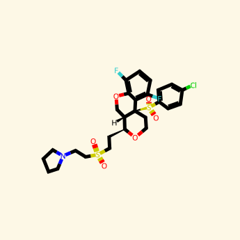 O=S(=O)(CC[C@@H]1OCC[C@@]2(S(=O)(=O)c3ccc(Cl)cc3)c3c(F)ccc(F)c3OC[C@@H]12)CCN1CCCC1